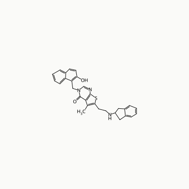 Cc1c(CCNC2Cc3ccccc3C2)sc2ncn(Cc3c(O)ccc4ccccc34)c(=O)c12